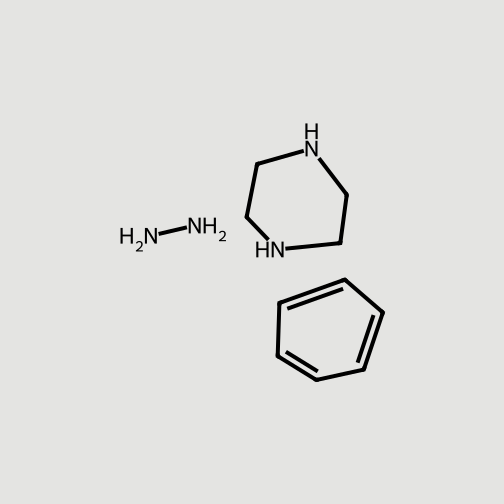 C1CNCCN1.NN.c1ccccc1